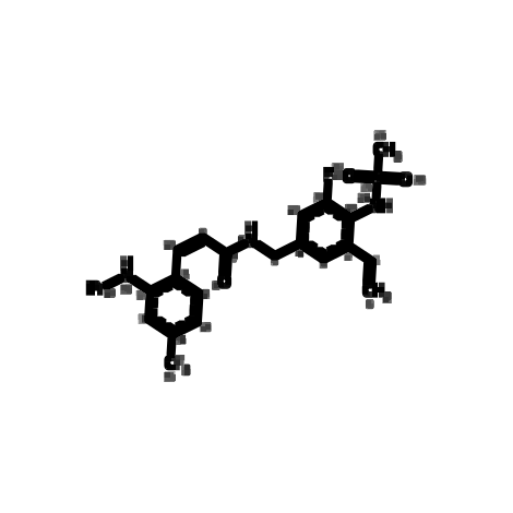 C=Cc1cc(CNC(=O)/C=C\c2ccc(C(F)(F)F)cc2NC(C)C)cc(F)c1NS(C)(=O)=O